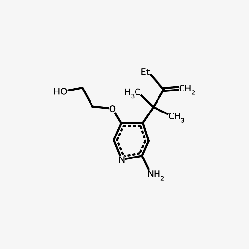 C=C(CC)C(C)(C)c1cc(N)ncc1OCCO